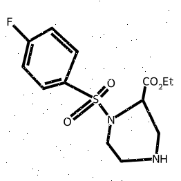 CCOC(=O)C1CNCCN1S(=O)(=O)c1ccc(F)cc1